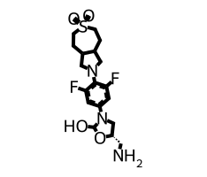 NC[C@H]1CN(c2cc(F)c(N3CC4CCS(=O)(=O)CCC4C3)c(F)c2)C(O)O1